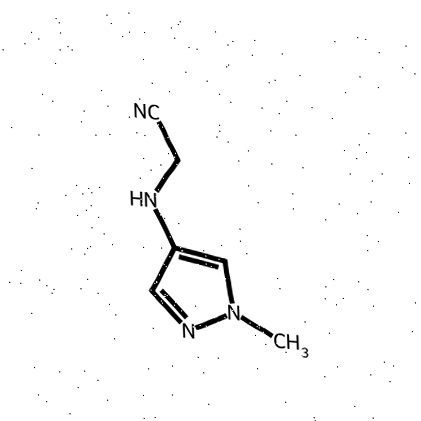 Cn1cc(NCC#N)cn1